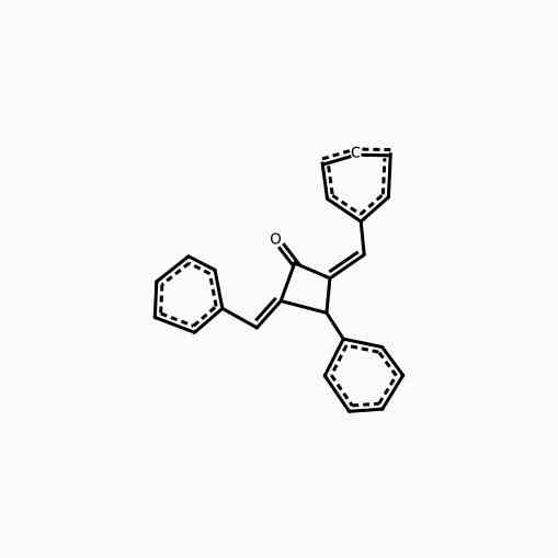 O=C1C(=Cc2ccccc2)C(c2ccccc2)C1=Cc1ccccc1